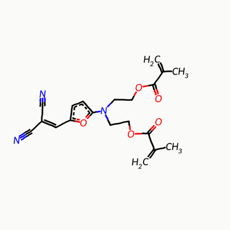 C=C(C)C(=O)OCCN(CCOC(=O)C(=C)C)c1ccc(C=C(C#N)C#N)o1